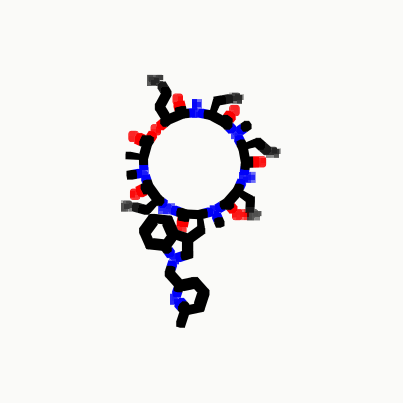 Cc1cccc(Cn2cc(C[C@H]3C(=O)N[C@@H](CC(C)C)C(=O)N(C)[C@@H](C)C(=O)OC(CCC#N)C(=O)N[C@@H](CC(C)C)C(=O)N(C)[C@@H](CC(C)C)C(=O)N[C@@H](CC(C)C)C(O)N3C)c3ccccc32)n1